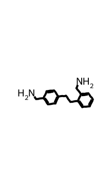 NCc1ccc(CCc2ccccc2CN)cc1